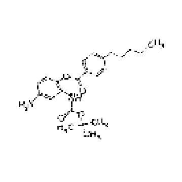 CCCCCc1ccc(C(=O)Oc2ccc(N)cc2NC(=O)OC(C)(C)C)cc1